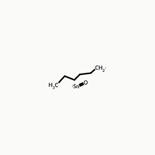 [CH2]CCCCC.[O]=[Sn]